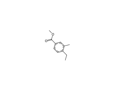 CCc1ccc(C(=O)OC)cc1C